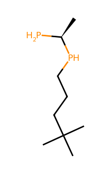 C[C@H](P)PCCCC(C)(C)C